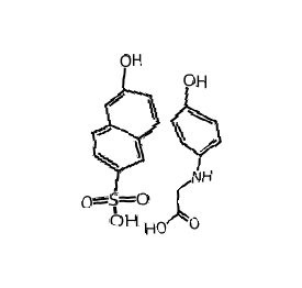 O=C(O)CNc1ccc(O)cc1.O=S(=O)(O)c1ccc2cc(O)ccc2c1